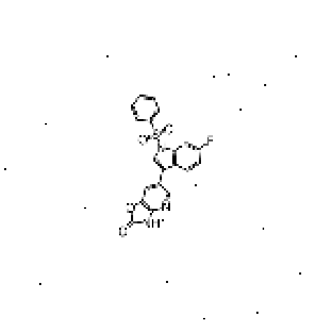 O=c1[nH]c2ncc(-c3cn(S(=O)(=O)c4ccccc4)c4cc(F)ccc34)cc2o1